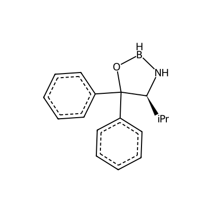 CC(C)[C@@H]1NBOC1(c1ccccc1)c1ccccc1